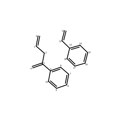 C=CCC(=C)c1ccccc1.C=Cc1ccccc1